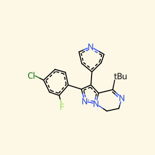 CC(C)(C)C1=NCCn2nc(-c3ccc(Cl)cc3F)c(-c3ccncc3)c21